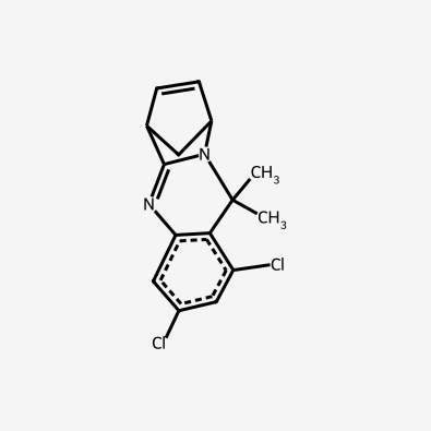 CC1(C)c2c(Cl)cc(Cl)cc2N=C2C3C=CC(C3)N21